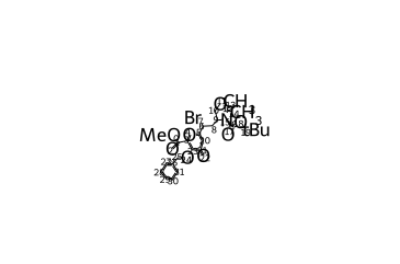 COC(=O)c1oc(C(Br)CC2COC(C)(C)N2C(=O)OC(C)(C)C)cc(=O)c1OCc1ccccc1